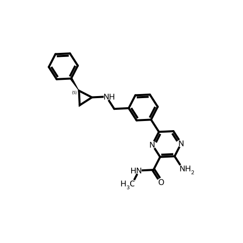 CNC(=O)c1nc(-c2cccc(CNC3C[C@H]3c3ccccc3)c2)cnc1N